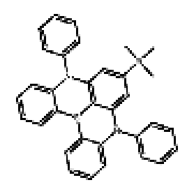 C[Si](C)(C)c1cc2c3c(c1)N(c1ccccc1)c1ccccc1B3c1ccccc1N2c1ccccc1